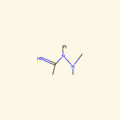 CC(=N)N(C(C)C)N(C)C